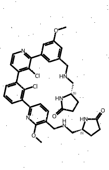 COc1cc(CNC[C@@H]2CCC(=O)N2)cc(-c2nccc(-c3cccc(-c4ccc(CNC[C@@H]5CCC(=O)N5)c(OC)n4)c3Cl)c2Cl)c1